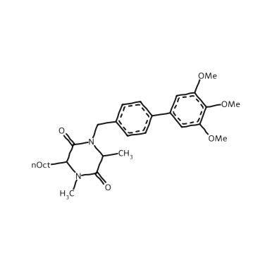 CCCCCCCCC1C(=O)N(Cc2ccc(-c3cc(OC)c(OC)c(OC)c3)cc2)C(C)C(=O)N1C